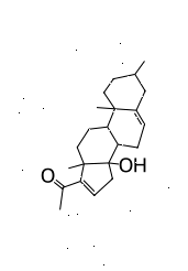 CC(=O)C1=CCC2(O)C3CC=C4CC(C)CCC4(C)C3CCC12C